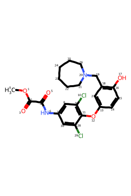 COC(=O)C(=O)Nc1cc(Cl)c(Oc2ccc(O)c(CN3CCCCCC3)c2)c(Cl)c1